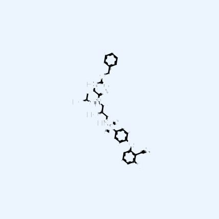 CC(C)C[C@H](NC(=O)OCc1ccccc1)C(=O)NCC(O)CNS(=O)(=O)c1ccc(Oc2cccc(Cl)c2C#N)cc1